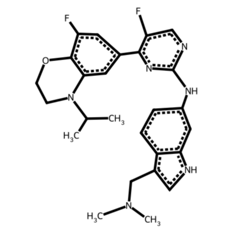 CC(C)N1CCOc2c(F)cc(-c3nc(Nc4ccc5c(CN(C)C)c[nH]c5c4)ncc3F)cc21